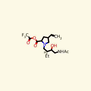 C=CC1CC(C(=O)OC(=O)C(F)(F)F)N(C[C@@H](CC)C(O)CNC(C)=O)C1